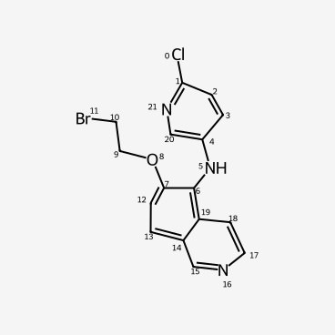 Clc1ccc(Nc2c(OCCBr)ccc3cnccc23)cn1